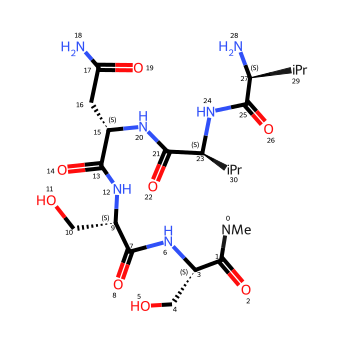 CNC(=O)[C@H](CO)NC(=O)[C@H](CO)NC(=O)[C@H](CC(N)=O)NC(=O)[C@@H](NC(=O)[C@@H](N)C(C)C)C(C)C